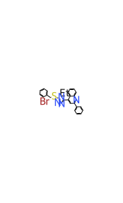 CCn1c(SCc2ccccc2Br)nnc1-c1cc(-c2ccccc2)nc2ccccc12